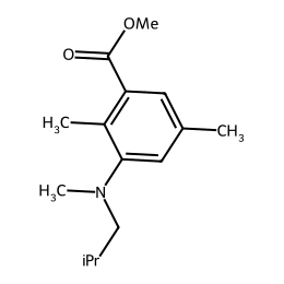 COC(=O)c1cc(C)cc(N(C)CC(C)C)c1C